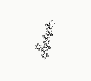 CCN(CC)C(=O)N1CCN(C(=O)[C@@H]2CCCN(C3CCN(C(=O)c4cc(-c5ccccc5)nc(-c5ccccc5)c4)CC3)C2)CC1